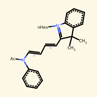 CCCCCC[N+]1=C(/C=C/C=C/N(C(C)=O)c2ccccc2)C(C)(C)c2ccccc21